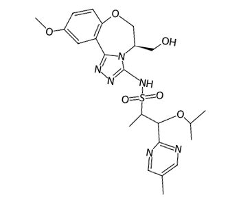 COc1ccc2c(c1)-c1nnc(NS(=O)(=O)C(C)C(OC(C)C)c3ncc(C)cn3)n1[C@H](CO)CO2